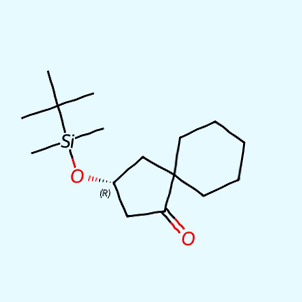 CC(C)(C)[Si](C)(C)O[C@H]1CC(=O)C2(CCCCC2)C1